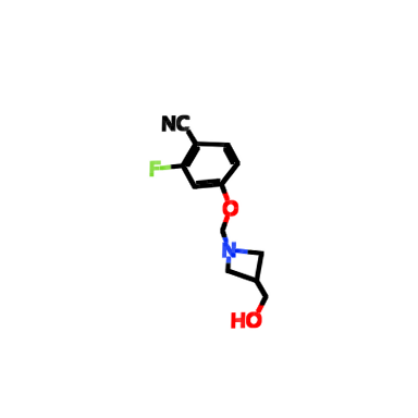 N#Cc1ccc(OCN2CC(CO)C2)cc1F